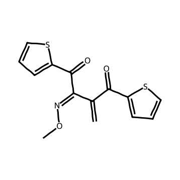 C=C(C(=O)c1cccs1)/C(=N\OC)C(=O)c1cccs1